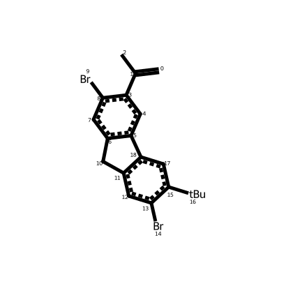 C=C(C)c1cc2c(cc1Br)Cc1cc(Br)c(C(C)(C)C)cc1-2